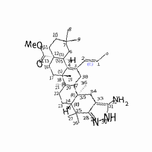 C/C=C/C1=C2[C@@H]3CC(C)(C)CC[C@]3(C(=O)OC)CC[C@@]2(C)[C@]2(C)CC[C@H]3C(C)(C)c4n[nH]c(N)c4C[C@]3(C)C2C1